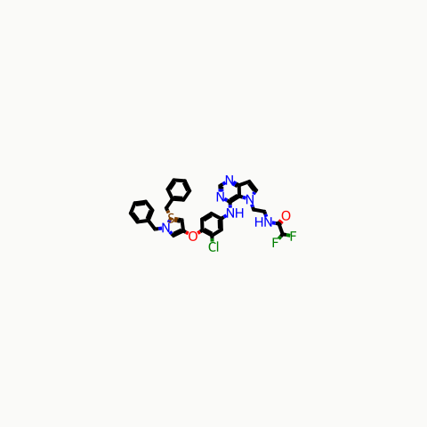 O=C(NCCn1ccc2ncnc(Nc3ccc(OC4=CN(Cc5ccccc5)S(Cc5ccccc5)=C4)c(Cl)c3)c21)C(F)F